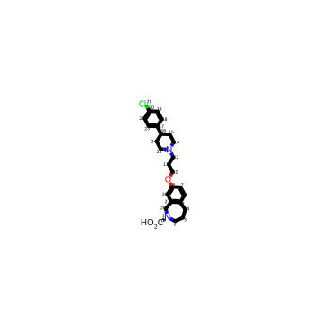 O=C(O)N1CCCc2ccc(OCCCN3CCC(c4ccc(Cl)cc4)CC3)cc2C1